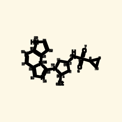 CC[C@@H]1C[C@H](NS(=O)(=O)C2CC2)CN1c1ncc2cnc3[nH]ccc3n12